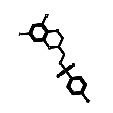 O=S(=O)(OCC1COc2c(Cl)cc(F)cc2O1)c1ccc(Br)cc1